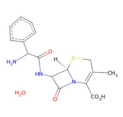 CC1=C(C(=O)O)N2C(=O)C(NC(=O)C(N)c3ccccc3)[C@H]2SC1.O